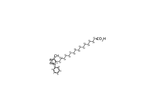 Cc1nnn(-c2ccccc2)c1CCCCCCCCCCCCCCCCC(=O)O